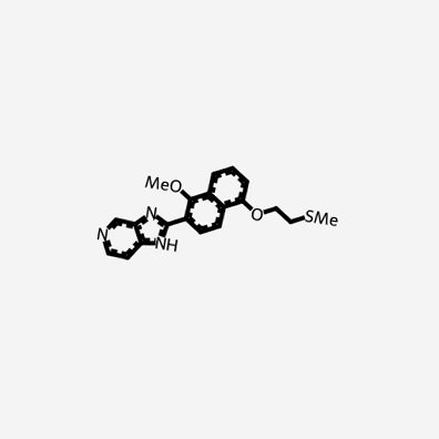 COc1c(-c2nc3cnccc3[nH]2)ccc2c(OCCSC)cccc12